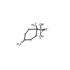 CC1CCC(C)(P(=O)(O)O)CC1